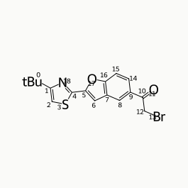 CC(C)(C)c1csc(-c2cc3cc(C(=O)CBr)ccc3o2)n1